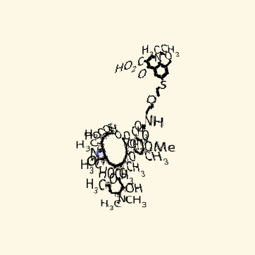 CC[C@H]1OC(=O)[C@H](C)[C@@H](O[C@H]2C[C@@](C)(OC)[C@@H](OC(=O)NCCOCCSc3cc4c5c(c3)c(=O)c(C(=O)O)cn5C(C)(C)OC4)[C@H](C)O2)[C@H](C)[C@@H](OC2O[C@H](C)C[C@H](N(C)C)[C@H]2O)[C@](C)(O)C[C@@H](C)/C(=N\O)[C@H](C)[C@@H](O)[C@]1(C)O